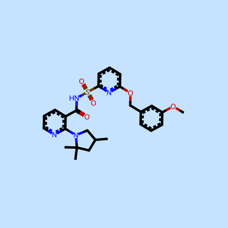 COc1cccc(COc2cccc(S(=O)(=O)NC(=O)c3cccnc3N3CC(C)CC3(C)C)n2)c1